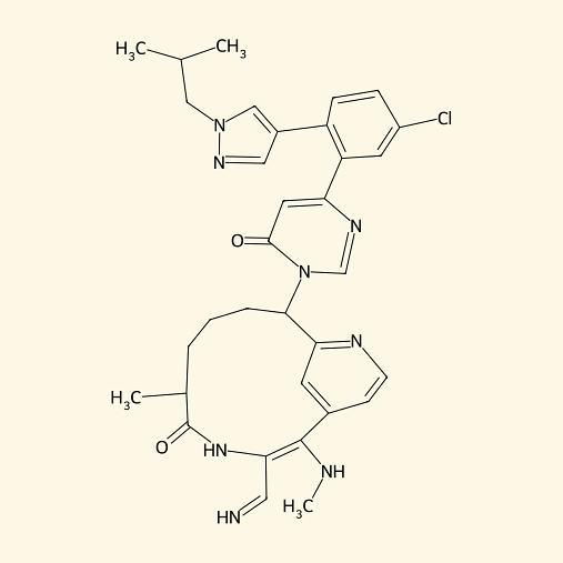 CN/C1=C(\C=N)NC(=O)C(C)CCCC(n2cnc(-c3cc(Cl)ccc3-c3cnn(CC(C)C)c3)cc2=O)c2cc1ccn2